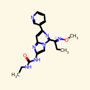 CCNC(=O)Nc1cn2c(/C(CC)=N/OC)nc(-c3cccnc3)cc2n1